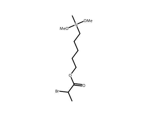 CO[Si](C)(CCCCCOC(=O)C(C)Br)OC